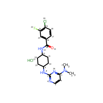 CN(C)c1ccnc(NC2CCC(NC(=O)c3ccc(Cl)c(F)c3)CC2)n1.Cl